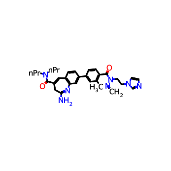 C=NN(CCn1ccnc1)C(=O)c1ccc(-c2ccc3c(c2)N=C(N)CC(C(=O)N(CCC)CCC)=C3)cc1C